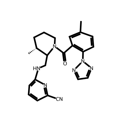 Cc1ccc(-n2nccn2)c(C(=O)N2CCC[C@@H](C)C2CNc2cccc(C#N)n2)c1